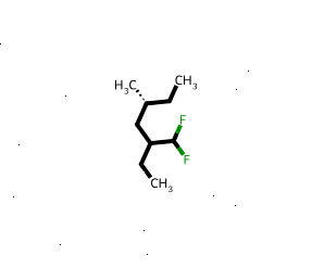 CCC(C[C@H](C)CC)C(F)F